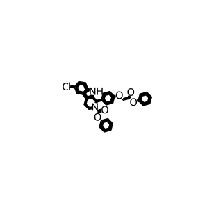 O=C(COc1ccc(C2c3[nH]c4ccc(Cl)cc4c3CCN2C(=O)Oc2ccccc2)cc1)Oc1ccccc1